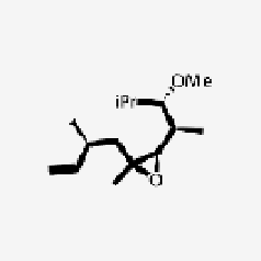 C=C[C@@H](C)CC1(C)O[C@@H]1[C@H](C)[C@@H](OC)C(C)C